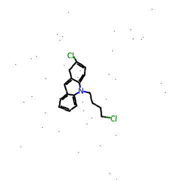 ClCCCCN1C2=CC=C(Cl)CC2=Cc2ccccc21